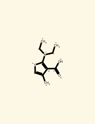 CCN(CC)c1scc(C)c1C(=O)O